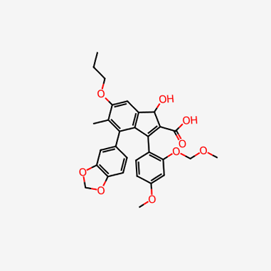 CCCOc1cc2c(c(-c3ccc4c(c3)OCO4)c1C)C(c1ccc(OC)cc1OCOC)=C(C(=O)O)C2O